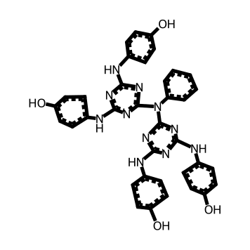 Oc1ccc(Nc2nc(Nc3ccc(O)cc3)nc(N(c3ccccc3)c3nc(Nc4ccc(O)cc4)nc(Nc4ccc(O)cc4)n3)n2)cc1